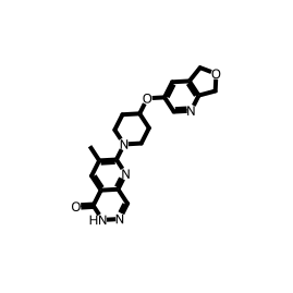 Cc1cc2c(=O)[nH]ncc2nc1N1CCC(Oc2cnc3c(c2)COC3)CC1